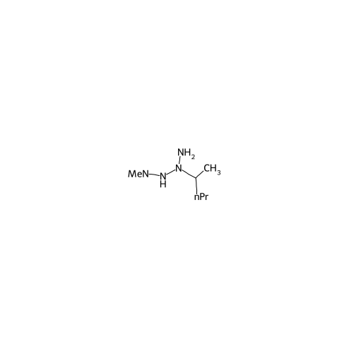 CCCC(C)N(N)NNC